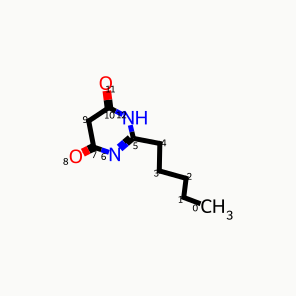 CCCCCC1=NC(=O)CC(=O)N1